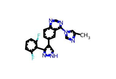 Cc1cn(-c2ncnc3ccc(-c4c[nH]nc4-c4c(F)cccc4F)cc23)cn1